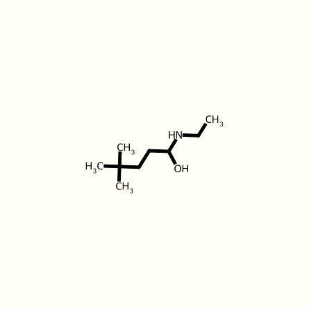 CCNC(O)CCC(C)(C)C